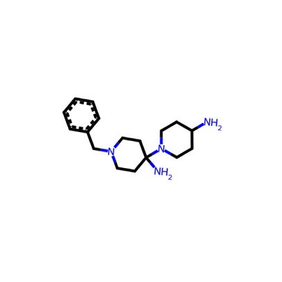 NC1CCN(C2(N)CCN(Cc3ccccc3)CC2)CC1